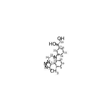 Cc1nnn2c1-c1ccccc1N(c1cccc(C(O)CO)c1)CC2